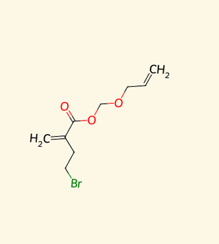 C=CCOCOC(=O)C(=C)CCBr